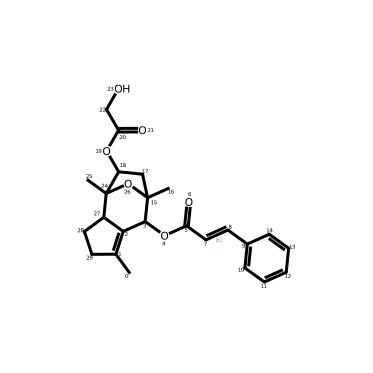 CC1=C2C(OC(=O)/C=C/c3ccccc3)C3(C)CC(OC(=O)CO)C(C)(O3)C2CC1